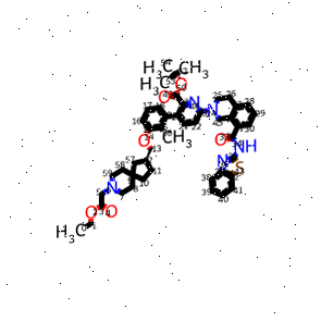 CCOC(=O)CN1CCC2(CC[C@H](COc3cccc(-c4ccc(N5CCc6cccc(C(=O)Nc7nc8ccccc8s7)c6C5)nc4C(=O)OC(C)(C)C)c3C)C2)CC1